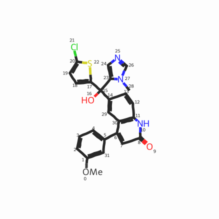 COc1cccc(-c2cc(=O)[nH]c3ccc(C(O)(c4ccc(Cl)s4)c4cncn4C)cc23)c1